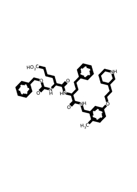 Cc1ccc(OCCC2CCCNC2)cc1CNC(=O)C(CCc1ccccc1)NC(=O)C(CCCC(=O)O)NC(=O)OCc1ccccc1